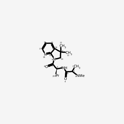 CNC(C)C(=O)N[C@H](C(=O)N1CC(C)(C)c2cccnc21)C(C)C